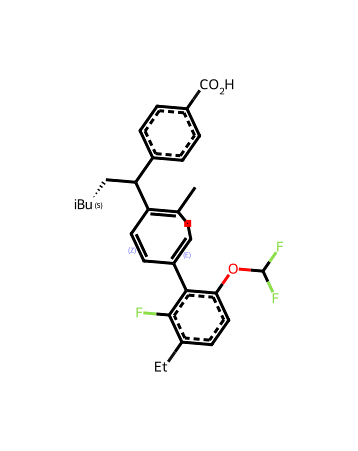 C/C=C(\C=C/C(=C(C)C)C(C[C@@H](C)CC)c1ccc(C(=O)O)cc1)c1c(OC(F)F)ccc(CC)c1F